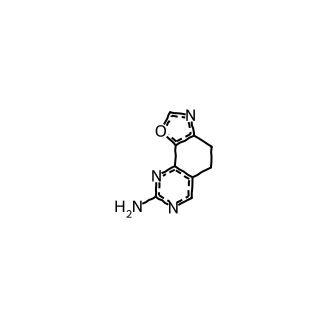 Nc1ncc2c(n1)-c1ocnc1CC2